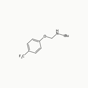 CC(C)(C)NCOc1ccc(C(F)(F)F)cc1